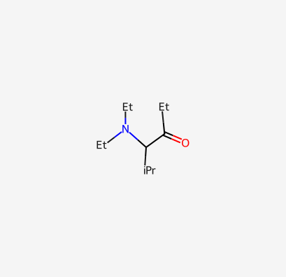 CCC(=O)C(C(C)C)N(CC)CC